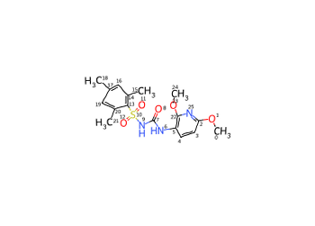 COc1ccc(NC(=O)NS(=O)(=O)c2c(C)cc(C)cc2C)c(OC)n1